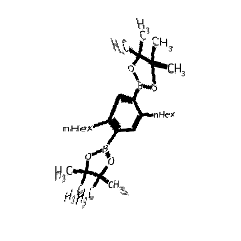 CCCCCCc1cc(B2OC(C)(C)C(C)(C)O2)c(CCCCCC)cc1B1OC(C)(C)C(C)(C)O1